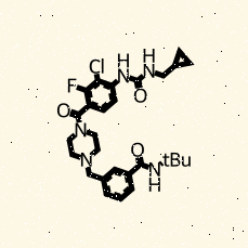 CC(C)(C)NC(=O)c1cccc(CN2CCN(C(=O)c3ccc(NC(=O)NCC4CC4)c(Cl)c3F)CC2)c1